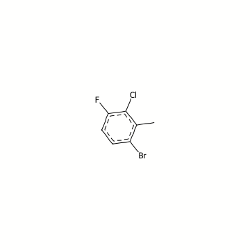 Cc1c(Br)ccc(F)c1Cl